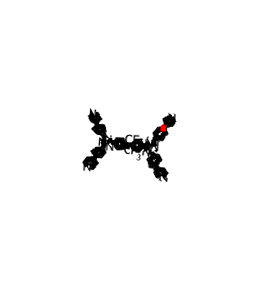 FC(F)(F)C(c1ccc(-c2nc(-c3ccc(-c4ccncc4)cc3)nc(-c3ccc(-c4ccncc4)cc3)n2)cc1)(c1ccc(-c2nc(-c3ccc(-c4ccncc4)cc3)nc(-c3ccc(-c4ccncc4)cc3)n2)cc1)C(F)(F)F